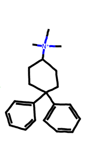 C[N+](C)(C)C1CCC(c2ccccc2)(c2ccccc2)CC1.[Cl-]